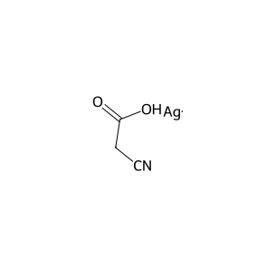 N#CCC(=O)O.[Ag]